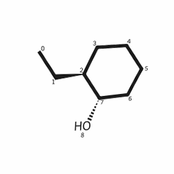 CC[C@H]1CCCC[C@@H]1O